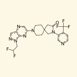 O=C1CC2(CCN(c3cnc4cnn(CC(F)F)c4n3)CC2)CN1c1cnccc1C(F)(F)F